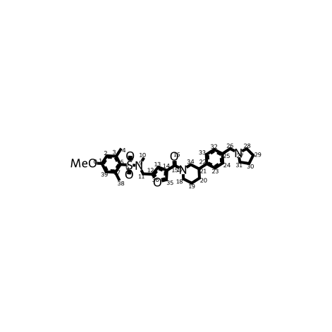 COc1cc(C)c(S(=O)(=O)N(C)Cc2cc(C(=O)N3CCCC(c4ccc(CN5CCCC5)cc4)C3)co2)c(C)c1